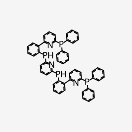 c1ccc(P(c2ccccc2)c2cccc(-c3ccccc3Pc3cccc(Pc4ccccc4-c4cccc(P(c5ccccc5)c5ccccc5)n4)n3)n2)cc1